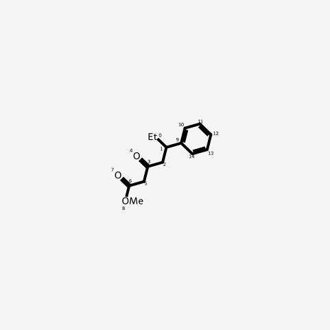 CCC(CC(=O)CC(=O)OC)c1ccccc1